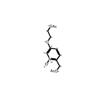 CC(=O)OCCOc1ccc(COC(C)=O)[n+]([O-])c1